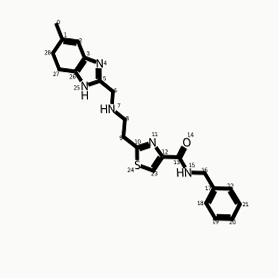 CC1=Cc2nc(CNCCc3nc(C(=O)NCc4ccccc4)cs3)[nH]c2CC1